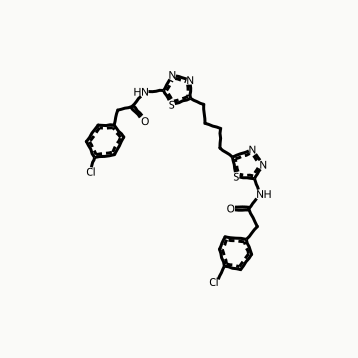 O=C(Cc1ccc(Cl)cc1)Nc1nnc(CCCCc2nnc(NC(=O)Cc3ccc(Cl)cc3)s2)s1